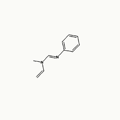 C=CN(C)/C=N/c1ccccc1